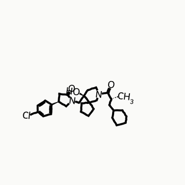 C[C@H](CC1CCCCC1)C(=O)N1CC[C@@](O)(CN2C[C@@H](c3ccc(Cl)cc3)CC2=O)C2(CCCC2)C1